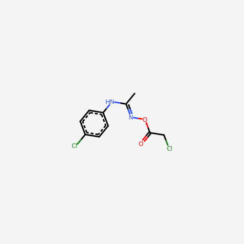 CC(=NOC(=O)CCl)Nc1ccc(Cl)cc1